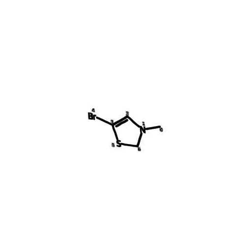 CN1C=C(Br)SC1